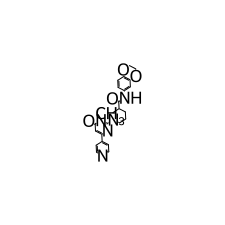 Cn1c(N2CCCC(C(=O)Nc3ccc4c(c3)OCCO4)C2)nc(-c2ccncc2)cc1=O